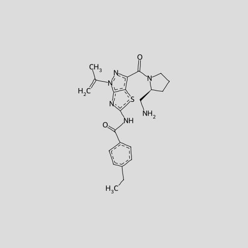 C=C(C)n1nc(C(=O)N2CCC[C@H]2CN)c2sc(NC(=O)c3ccc(CC)cc3)nc21